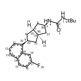 CC(C)(C)NC(=O)N[C@@H]1C[C@@H]2C[C@H](c3ccnc4ccc(F)cc34)C[C@@H]2C1